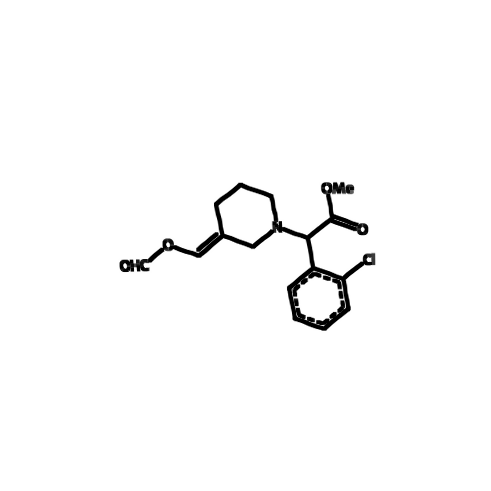 COC(=O)C(c1ccccc1Cl)N1CCC/C(=C\OC=O)C1